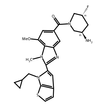 COc1cc(C(=O)N2C[C@H](N)C[C@@H](F)C2)cc2nc(-c3cc4ccsc4n3CC3CC3)n(C)c12